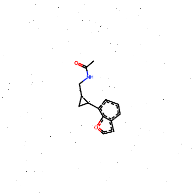 CC(=O)NCC1CC1c1cccc2ccoc12